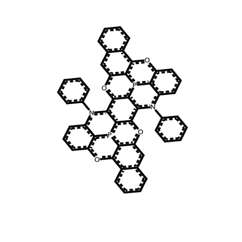 c1ccc(-n2c3cccc4oc5c6ccccc6cc6oc7c8c9c(oc%10cc%11ccccc%11c%11oc%12cccc(c%12p9c%10%11)n8-c8ccccc8)c2c7p(c65)c43)cc1